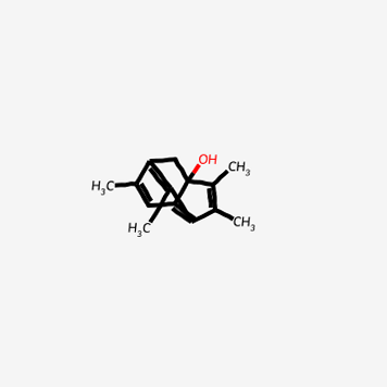 CC1=C(C)C2(O)Cc3c(C)cc2c1c3C